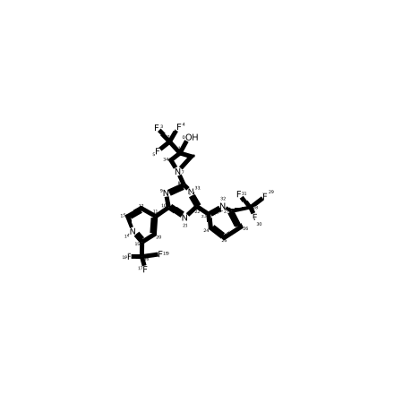 OC1(C(F)(F)F)CN(c2nc(-c3ccnc(C(F)(F)F)c3)nc(-c3cccc(C(F)(F)F)n3)n2)C1